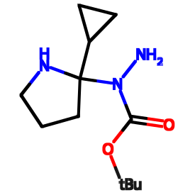 CC(C)(C)OC(=O)N(N)C1(C2CC2)CCCN1